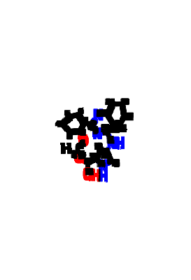 COc1ccccc1-c1nc(N[C@@H]2CN[C@@H](C(=O)O)C2)c2ccccc2n1